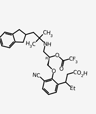 CCC(CC(=O)O)c1cccc(C#N)c1OC[C@@H](CNC(C)(C)CC1Cc2ccccc2C1)OC(=O)C(F)(F)F